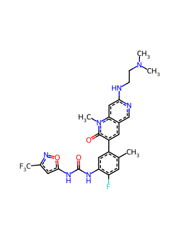 Cc1cc(F)c(NC(=O)Nc2cc(C(F)(F)F)no2)cc1-c1cc2cnc(NCCN(C)C)cc2n(C)c1=O